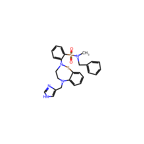 CN(Cc1ccccc1)S(=O)(=O)c1ccccc1N1CCN(Cc2c[nH]cn2)c2ccccc2S1